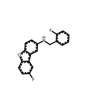 Fc1ccc2oc3ccc(NCc4ccccc4F)cc3c2c1